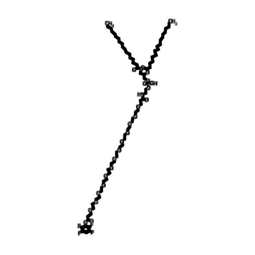 CCCCCCCCCCCCCCCCCC(=O)OCC(COP(=O)(O)OCCNC(=O)CCOCCOCCOCCOCCOCCOCCOCCOCCOCCOCCOCCOCCOCCC(=O)Oc1c(F)c(F)cc(F)c1F)OC(=O)CCCCCCCCCCCCCCCCC